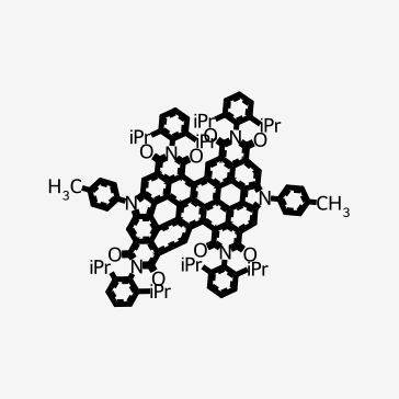 Cc1ccc(-n2c3cc4c(=O)n(-c5c(C(C)C)cccc5C(C)C)c(=O)c5cc6c7c8c(=O)n(-c9c(C(C)C)cccc9C(C)C)c(=O)c9cc%10c%11c(c98)c8c9c(cc%12c(=O)n(-c%13c(C(C)C)cccc%13C(C)C)c(=O)c%13cc(c%11c9c%12%13)n%10-c9ccc(C)cc9)c9c%10c(=O)n(-c%11c(C(C)C)cccc%11C(C)C)c(=O)c%11cc2c2c(c%11%10)c(c6c(c54)c23)c9c78)cc1